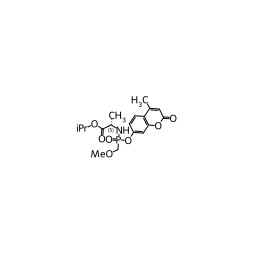 COCP(=O)(N[C@@H](C)C(=O)OC(C)C)Oc1ccc2c(C)cc(=O)oc2c1